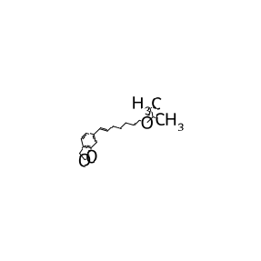 CCC(C)OCCCCCC=Cc1ccc2c(c1)OOC2